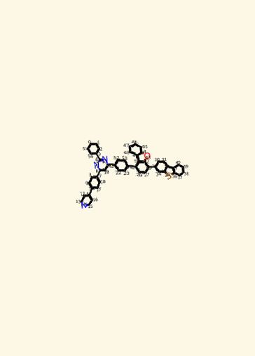 c1ccc(-c2nc(-c3ccc(-c4ccncc4)cc3)cc(-c3ccc(-c4ccc(-c5ccc6c(c5)sc5ccccc56)c5oc6ccccc6c45)cc3)n2)cc1